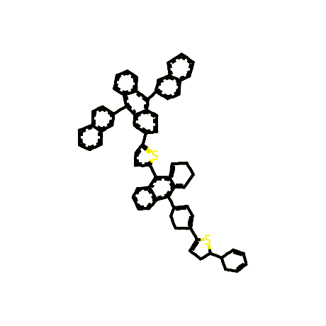 C1=CCC(C2CC=C(C3=CC=C(c4c5c(c(-c6ccc(-c7ccc8c(-c9ccc%10ccccc%10c9)c9ccccc9c(-c9ccc%10ccccc%10c9)c8c7)s6)c6ccccc46)=CCCC=5)CC3)S2)C=C1